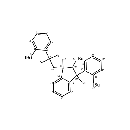 CC(C)(C)c1ccccc1C(C)(C)CC1(C)c2ccccc2C(C)(c2ccccc2C(C)(C)C)C1C(C)(C)C